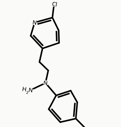 Cc1ccc(N(N)CCc2ccc(Cl)nc2)cc1